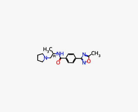 Cc1nc(-c2ccc(C(=O)N[C@H](C)CN3CCCC3)cc2)no1